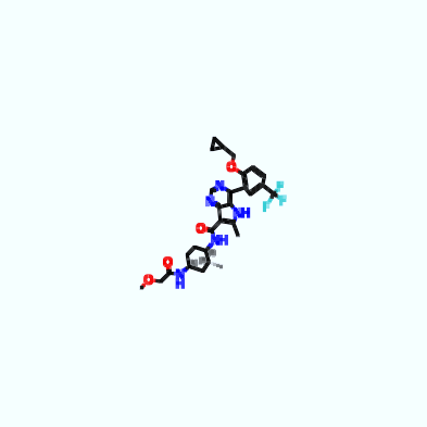 COCC(=O)N[C@H]1CC[C@@H](NC(=O)c2c(C)[nH]c3c(-c4cc(C(F)(F)F)ccc4OCC4CC4)ncnc23)[C@H](C)C1